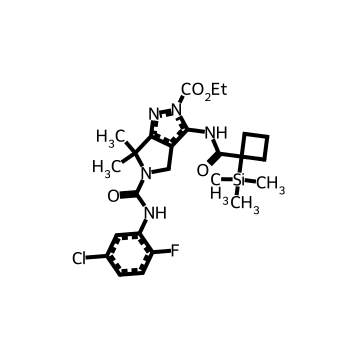 CCOC(=O)n1nc2c(c1NC(=O)C1([Si](C)(C)C)CCC1)CN(C(=O)Nc1cc(Cl)ccc1F)C2(C)C